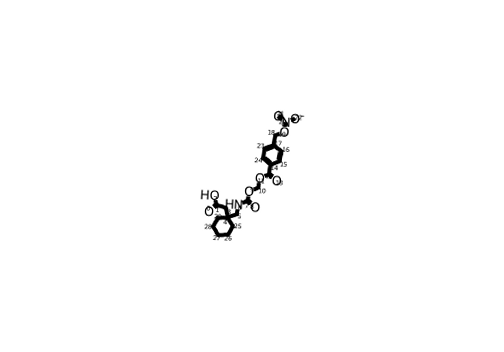 O=C(O)CC1(CNC(=O)OCOC(=O)c2ccc(CO[N+](=O)[O-])cc2)CCCCC1